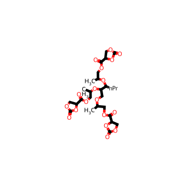 CCCC(OC(C)COC(=O)C1COC(=O)O1)C(COC(C)COC(=O)C1COC(=O)O1)OC(C)COC(=O)C1COC(=O)O1